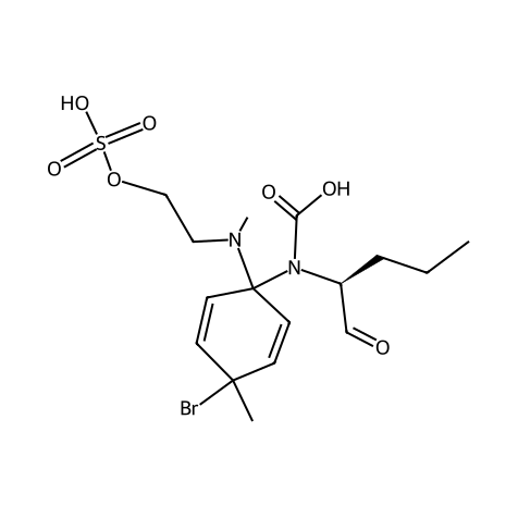 CCC[C@@H](C=O)N(C(=O)O)C1(N(C)CCOS(=O)(=O)O)C=CC(C)(Br)C=C1